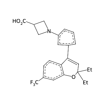 CCC1(CC)C=C(c2cccc(N3CC(C(=O)O)C3)c2)c2ccc(C(F)(F)F)cc2O1